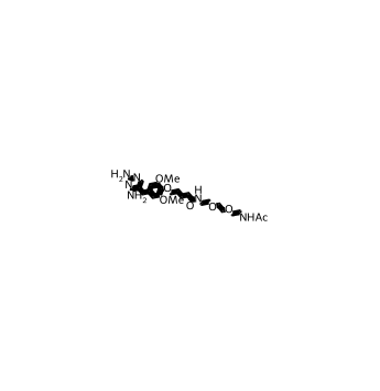 COc1cc(Cc2cnc(N)nc2N)cc(OC)c1OCCCCC(=O)NCCOCCOCCNC(C)=O